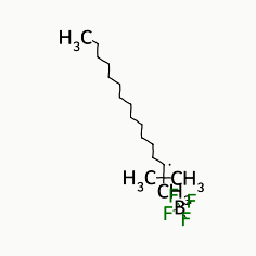 CCCCCCCCCCCCC[CH]C(C)(C)C.F[B-](F)(F)F